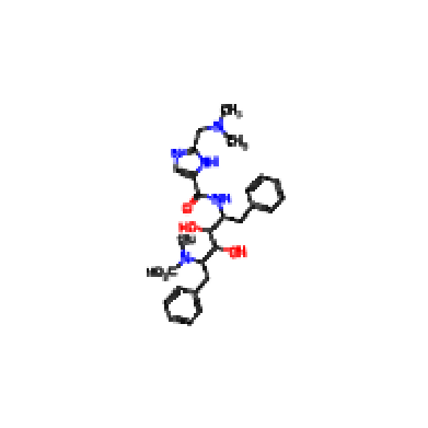 CN(C)Cc1ncc(C(=O)NC(Cc2ccccc2)C(O)C(O)C(Cc2ccccc2)N(C(=O)O)C(C)(C)C)[nH]1